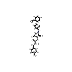 O=C(CN1C(=O)/C(=C/c2ccc(-c3ccccc3Cl)o2)SC1=S)NCC1=CCC(Br)C=C1